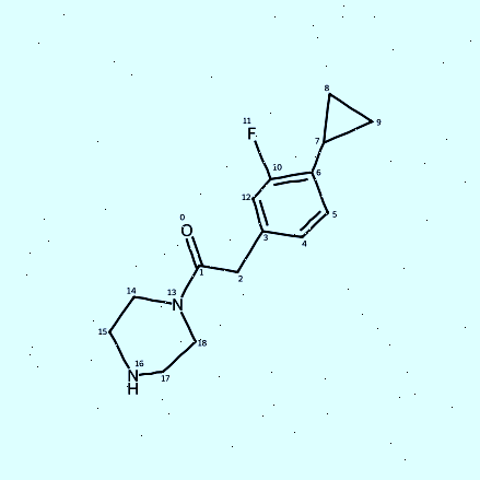 O=C(Cc1ccc(C2CC2)c(F)c1)N1CCNCC1